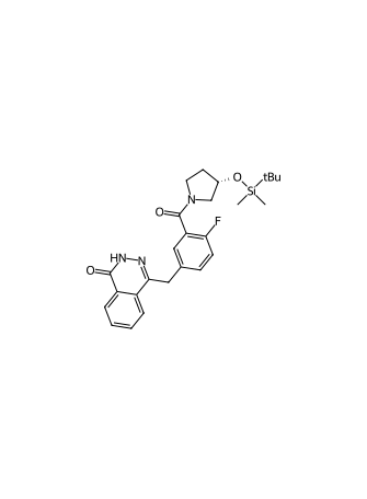 CC(C)(C)[Si](C)(C)O[C@H]1CCN(C(=O)c2cc(Cc3n[nH]c(=O)c4ccccc34)ccc2F)C1